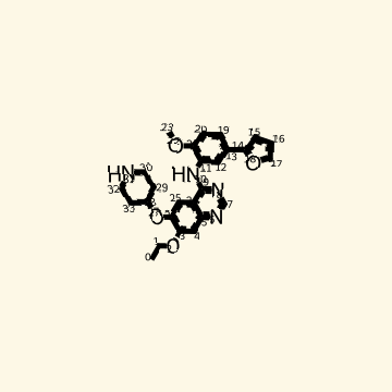 CCOc1cc2ncnc(Nc3cc(-c4ccco4)ccc3OC)c2cc1OC1CCNCC1